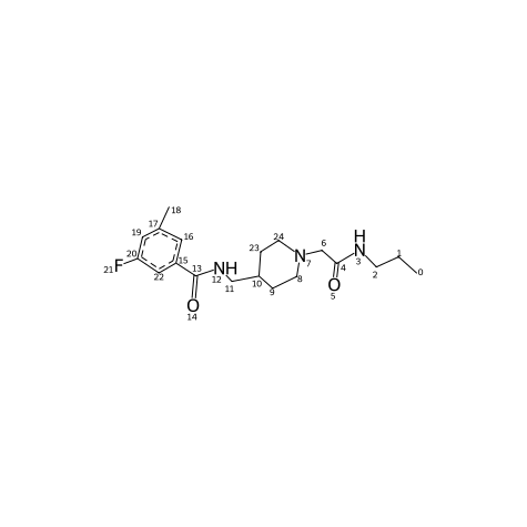 CCCNC(=O)CN1CCC(CNC(=O)c2cc(C)cc(F)c2)CC1